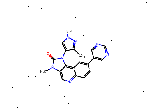 Cc1nn(C)cc1-n1c(=O)n(C)c2cnc3ccc(-c4cncnc4)cc3c21